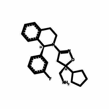 NC[C@@]1(C2CCCC2)CC(N2CCc3ccccc3[C@@H]2c2cccc(F)c2)=NO1